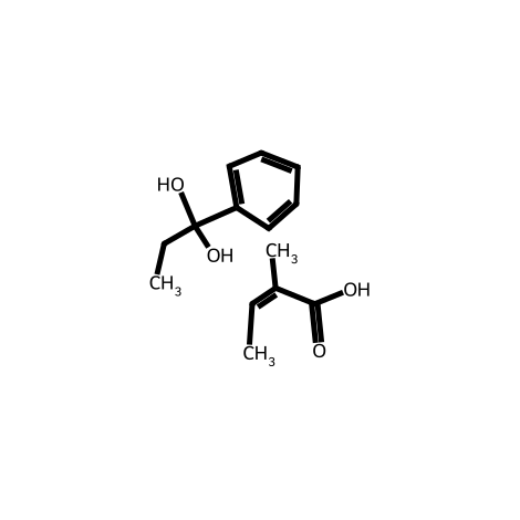 CC=C(C)C(=O)O.CCC(O)(O)c1ccccc1